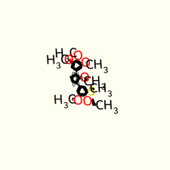 CCCOc1c(OC)cc([C@H]2CC[C@H](c3cc(OC)c(OC)c(OC)c3)[C@H]2OC)cc1SC